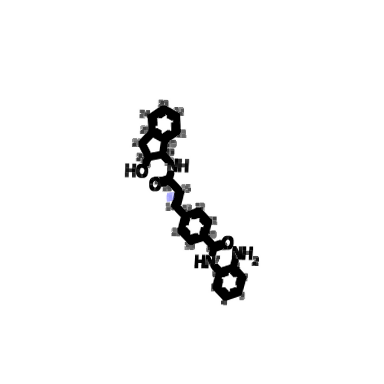 Nc1ccccc1NC(=O)c1ccc(/C=C/C(=O)NC2c3ccccc3CC2O)cc1